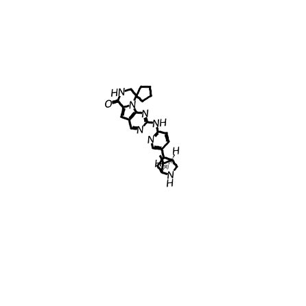 C[C@H]1C2CC(c3ccc(Nc4ncc5cc6n(c5n4)C4(CCCC4)CNC6=O)nc3)[C@H]1CN2